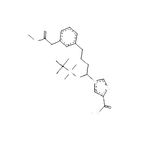 COC(=O)Cc1cccc(CCCC(O[Si](C)(C)C(C)(C)C)n2cnc(C(N)=O)c2)c1